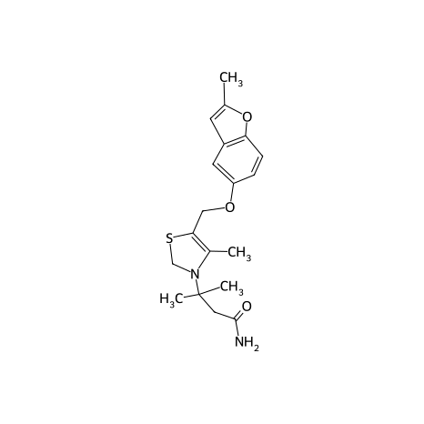 CC1=C(COc2ccc3oc(C)cc3c2)SCN1C(C)(C)CC(N)=O